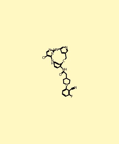 N#Cc1c(F)cccc1N1CCC(CC(=O)Nc2ccc3cc2CCc2cncc(c2)Nc2ncc(Cl)c(n2)N3)CC1